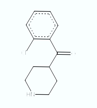 O=C(c1ccccc1Cl)C1CCNCC1